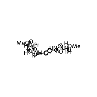 COC(=O)N[C@H](C(=O)N1CCCC1c1ncc(-c2ccc3cc(C#Cc4cnc(C5C[C@H]6C[C@H]6N5C(=O)[C@@H](NC(=O)OC)C(C)C)[nH]4)ccc3c2)[nH]1)C(C)C